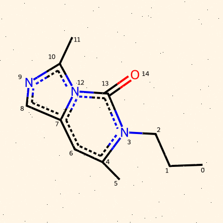 CCCn1c(C)cc2cnc(C)n2c1=O